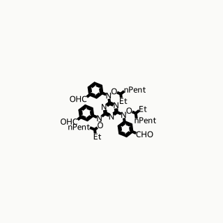 CCCCCC(CC)ON(c1cccc(C=O)c1)c1nc(N(OC(CC)CCCCC)c2cccc(C=O)c2)nc(N(OC(CC)CCCCC)c2cccc(C=O)c2)n1